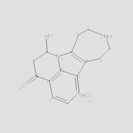 CCCC1CC(=O)c2cccc3c4c(n1c23)CCNCC4.Cl